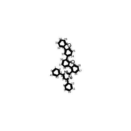 c1ccc(-c2cc(-c3ccccc3)nc(-c3cccc4oc5c(-c6ccc7oc8ccccc8c7c6)cccc5c34)n2)cc1